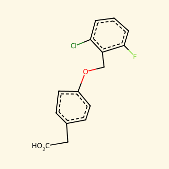 O=C(O)Cc1ccc(OCc2c(F)cccc2Cl)cc1